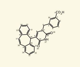 O=C(O)c1cccc(Cn2cc(C3c4ccccc4C=Cc4ccccc43)c(=O)[nH]c2=O)c1